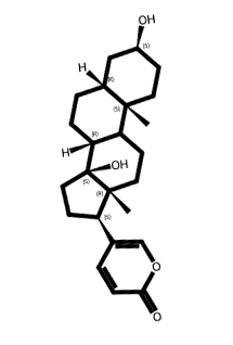 C[C@]12CC[C@H](O)C[C@H]1CC[C@@H]1C2CC[C@]2(C)[C@@H](c3ccc(=O)oc3)CC[C@]12O